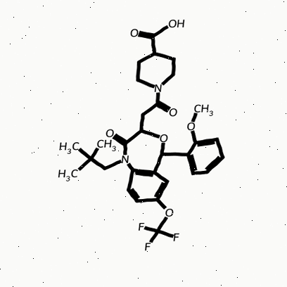 COc1ccccc1C1OC(CC(=O)N2CCC(C(=O)O)CC2)C(=O)N(CC(C)(C)C)c2ccc(OC(F)(F)F)cc21